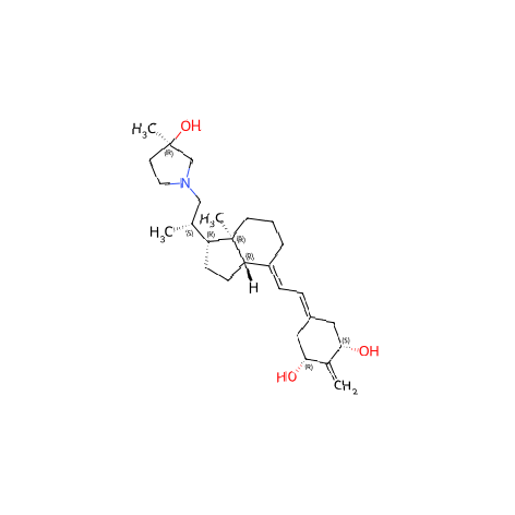 C=C1[C@H](O)CC(=CC=C2CCC[C@]3(C)[C@@H]([C@H](C)CN4CC[C@@](C)(O)C4)CC[C@@H]23)C[C@@H]1O